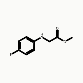 COC(=O)CNc1ccc(F)cc1